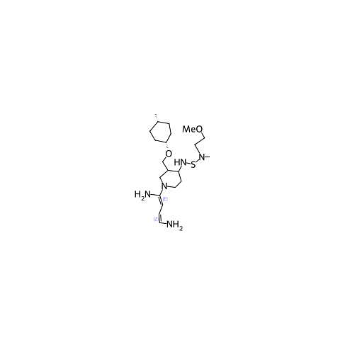 COCCN(C)SNC1CCN(/C(N)=C/C=C\N)CC1CO[C@H]1CC[C@@H](C)CC1